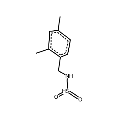 Cc1ccc(CN[SH](=O)=O)c(C)c1